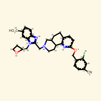 N#Cc1ccc(COc2ccc3c(n2)C2CCN(Cc4nc5ccc(C(=O)O)cc5n4C[C@@H]4CCO4)CC2CC3)c(F)c1